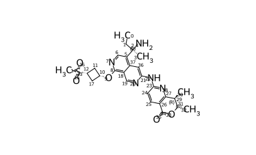 CC[C@@](C)(N)c1cnc(O[C@H]2C[C@@H](S(C)(=O)=O)C2)c2cnc(Nc3ccc4c(n3)[C@@H](C)[C@H](C)OC4=O)cc12